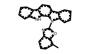 Cc1cccc2nc(-n3c4ccccc4c4ccc5c6ccccc6[nH]c5c43)oc12